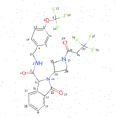 O=C(NCc1ccc(OC(F)(F)F)cc1)C1c2ccccc2C(=O)N1C1CN(C(=O)CC(F)(F)F)C1